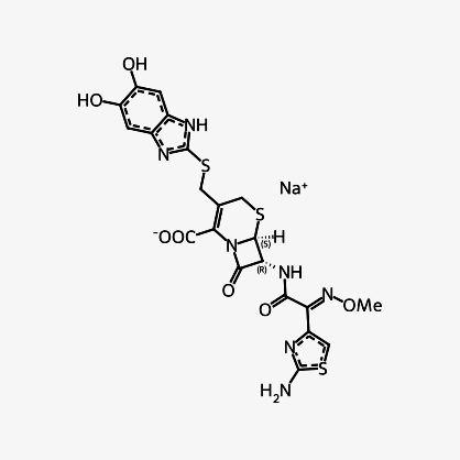 CON=C(C(=O)N[C@@H]1C(=O)N2C(C(=O)[O-])=C(CSc3nc4cc(O)c(O)cc4[nH]3)CS[C@@H]12)c1csc(N)n1.[Na+]